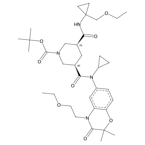 CCOCCN1C(=O)C(C)(C)Oc2ccc(N(C(=O)[C@@H]3C[C@H](C(=O)NC4(COCC)CC4)CN(C(=O)OC(C)(C)C)C3)C3CC3)cc21